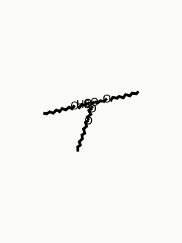 CCCCCCCCCCOCCCO[SiH](OCCCOCCCCCCCCCC)OCCCOCCCCCCCCCC